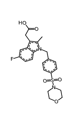 Cc1c(CC(=O)O)c2cc(F)ccc2n1Cc1ccc(S(=O)(=O)N2CCOCC2)cc1